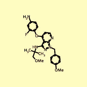 COCC(C)(C)Nc1nn(Cc2ccc(OC)cc2)c2nccc(Oc3ccc(N)cc3F)c12